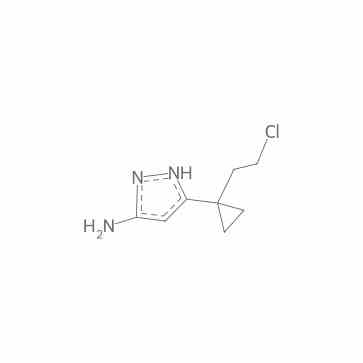 Nc1cc(C2(CCCl)CC2)[nH]n1